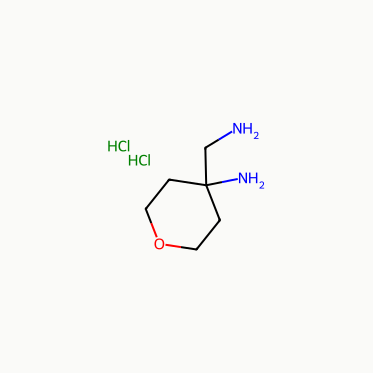 Cl.Cl.NCC1(N)CCOCC1